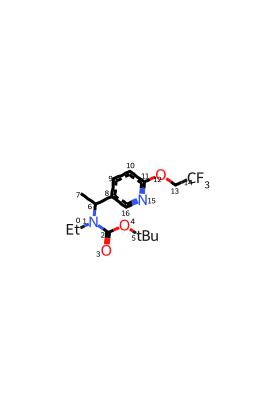 CCN(C(=O)OC(C)(C)C)C(C)c1ccc(OCC(F)(F)F)nc1